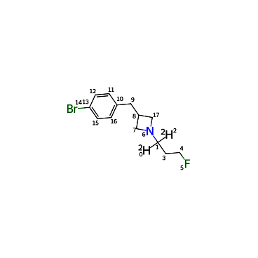 [2H]C([2H])(CCF)N1CC(Cc2ccc(Br)cc2)C1